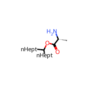 CCCCCCCC(CCCCCCC)OC(=O)[C@@H](C)N